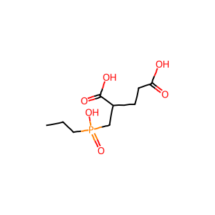 CCCP(=O)(O)CC(CCC(=O)O)C(=O)O